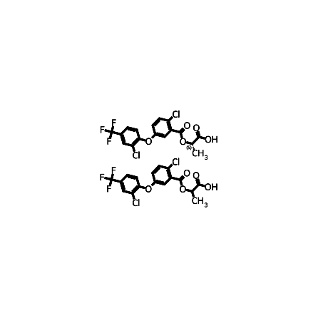 CC(OC(=O)c1cc(Oc2ccc(C(F)(F)F)cc2Cl)ccc1Cl)C(=O)O.C[C@H](OC(=O)c1cc(Oc2ccc(C(F)(F)F)cc2Cl)ccc1Cl)C(=O)O